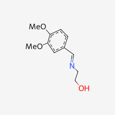 COc1ccc(/C=N/CCO)cc1OC